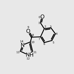 O=Cc1ccccc1C(=O)c1c[nH]cn1